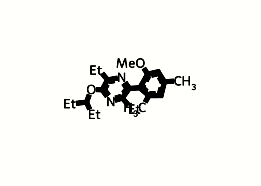 CCc1nc(-c2c(C)cc(C)cc2OC)c(CC)nc1OC(CC)CC